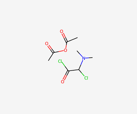 CC(=O)OC(C)=O.CN(C)C(Cl)C(=O)Cl